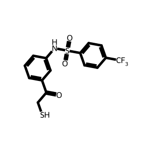 O=C(CS)c1cccc(NS(=O)(=O)c2ccc(C(F)(F)F)cc2)c1